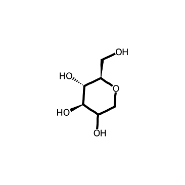 OC[C@H]1OC[C](O)[C@@H](O)[C@@H]1O